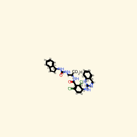 O=C(NCC(NC(=O)c1c(Cl)ccc(Nc2ncc3ccccc3n2)c1Cl)C(=O)O)NC1CCc2ccccc21